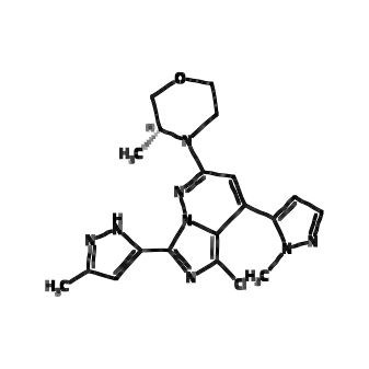 Cc1cc(-c2nc(Cl)c3c(-c4ccnn4C)cc(N4CCOC[C@H]4C)nn23)[nH]n1